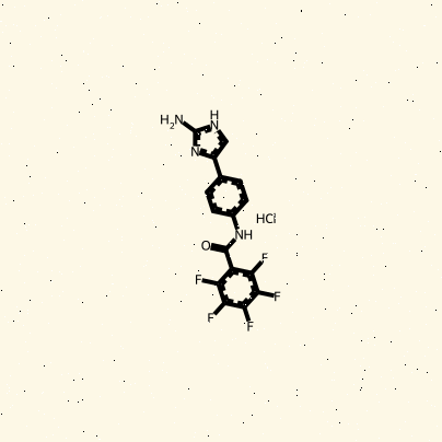 Cl.Nc1nc(-c2ccc(NC(=O)c3c(F)c(F)c(F)c(F)c3F)cc2)c[nH]1